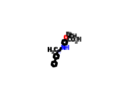 CCC(C)(Oc1ccc(NC/C=C(\C)c2ccc(-c3ccccc3)cc2)cc1)C(=O)O